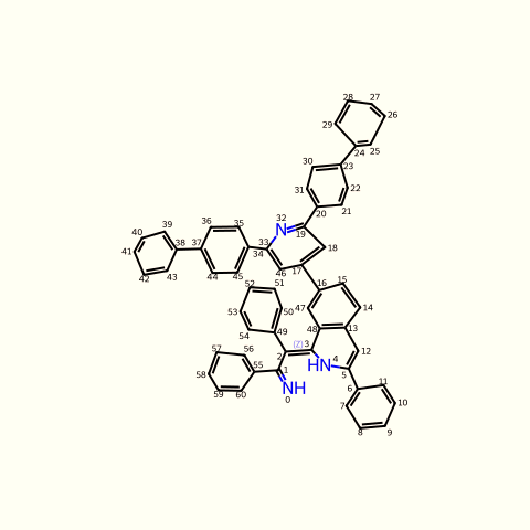 N=C(/C(=C1\NC(c2ccccc2)=Cc2ccc(-c3cc(-c4ccc(-c5ccccc5)cc4)nc(-c4ccc(-c5ccccc5)cc4)c3)cc21)c1ccccc1)c1ccccc1